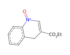 CCOC(=O)C1=C[N+](=O)c2ccccc2C1